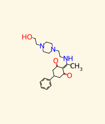 CC(NCCN1CCN(CCO)CC1)=C1C(=O)CC(c2ccccc2)CC1=O